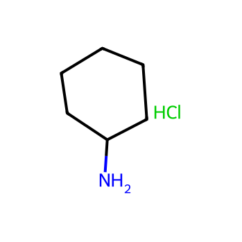 Cl.NC1CCCCC1